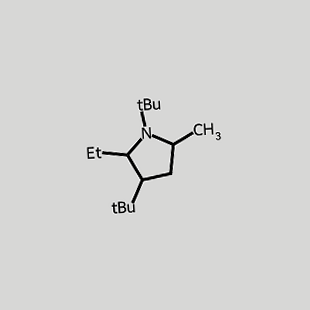 CCC1C(C(C)(C)C)CC(C)N1C(C)(C)C